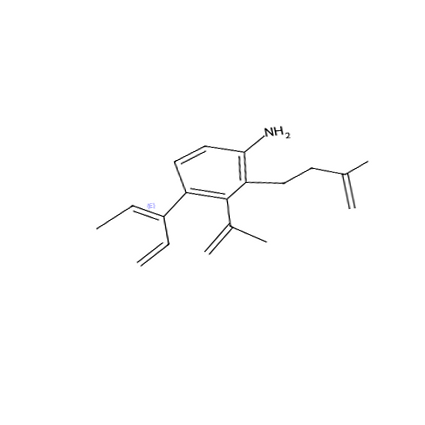 C=C/C(=C\C)c1ccc(N)c(CCC(=C)C)c1C(=C)C